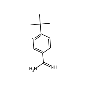 CC(C)(C)c1ccc(C(=N)N)cn1